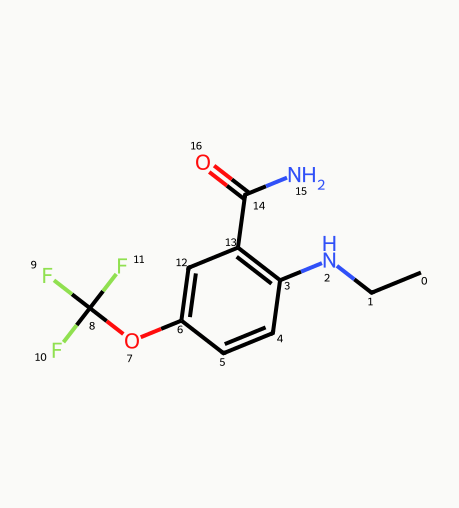 CCNc1ccc(OC(F)(F)F)cc1C(N)=O